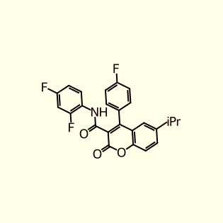 CC(C)c1ccc2oc(=O)c(C(=O)Nc3ccc(F)cc3F)c(-c3ccc(F)cc3)c2c1